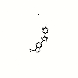 Cc1ccc(-c2noc(-c3ccc4c(c3)C=NC4C3CC3)n2)cn1